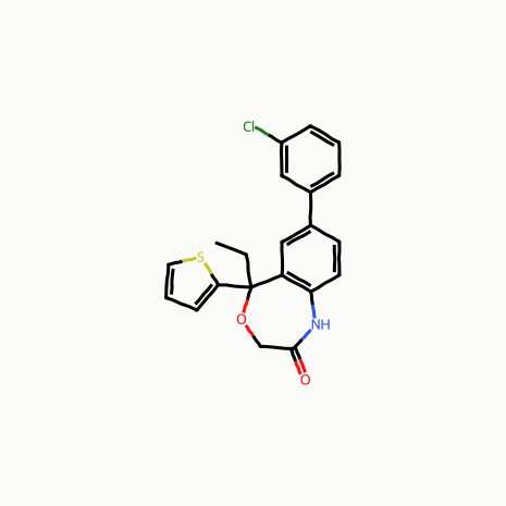 CCC1(c2cccs2)OCC(=O)Nc2ccc(-c3cccc(Cl)c3)cc21